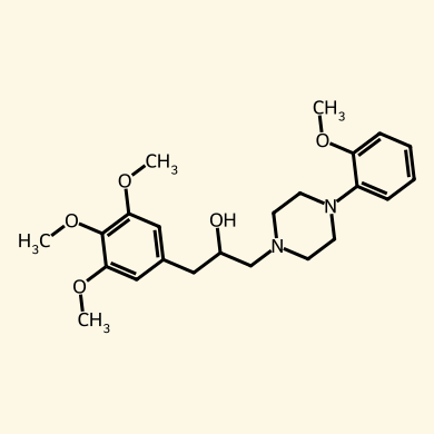 COc1ccccc1N1CCN(CC(O)Cc2cc(OC)c(OC)c(OC)c2)CC1